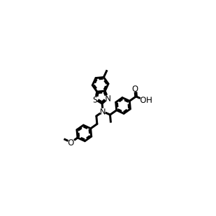 COc1ccc(CCN(c2nc3cc(C)ccc3s2)C(C)c2ccc(C(=O)O)cc2)cc1